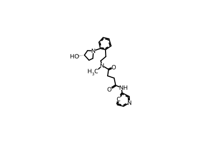 CN(CCc1ccccc1N1CC[C@H](O)C1)C(=O)CCC(=O)Nc1cccnc1